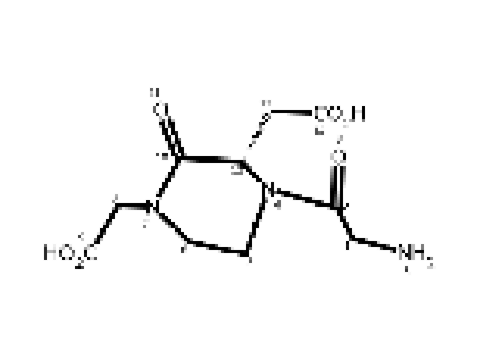 NCC(=O)N1CCN(CC(=O)O)C(=O)[C@@H]1CC(=O)O